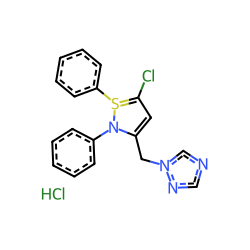 Cl.ClC1=S(c2ccccc2)N(c2ccccc2)C(Cn2cncn2)=C1